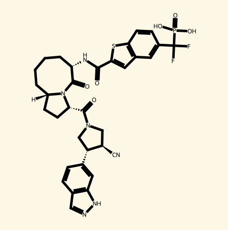 N#C[C@@H]1CN(C(=O)[C@@H]2CC[C@@H]3CCCC[C@H](NC(=O)c4cc5cc(C(F)(F)P(=O)(O)O)ccc5s4)C(=O)N32)C[C@H]1c1ccc2cn[nH]c2c1